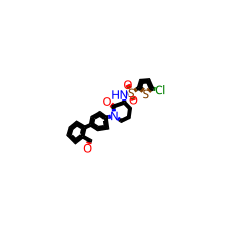 O=Cc1ccccc1-c1ccc(N2CCCC(NS(=O)(=O)c3ccc(Cl)s3)C2=O)cc1